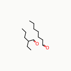 CCCC(C=O)CC.CCCCCCC=O